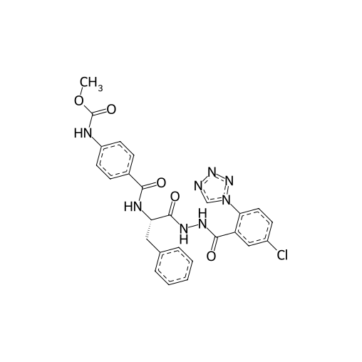 COC(=O)Nc1ccc(C(=O)N[C@@H](Cc2ccccc2)C(=O)NNC(=O)c2cc(Cl)ccc2-n2cnnn2)cc1